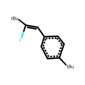 CC(C)(C)/C(F)=C/c1ccc(C(C)(C)C)cc1